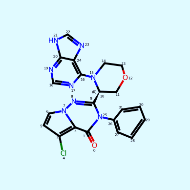 O=c1c2c(Cl)ccn2nc([C@@H]2COCCN2c2ncnc3[nH]cnc23)n1-c1ccccc1